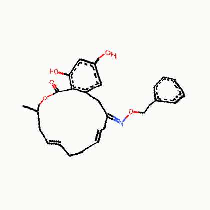 CC1C/C=C/CC/C=C/C(=NOCc2ccccc2)Cc2cc(O)cc(O)c2C(=O)O1